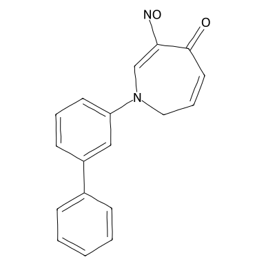 O=NC1=CN(c2cccc(-c3ccccc3)c2)CC=CC1=O